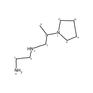 CC(CNCCN)N1CCCC1